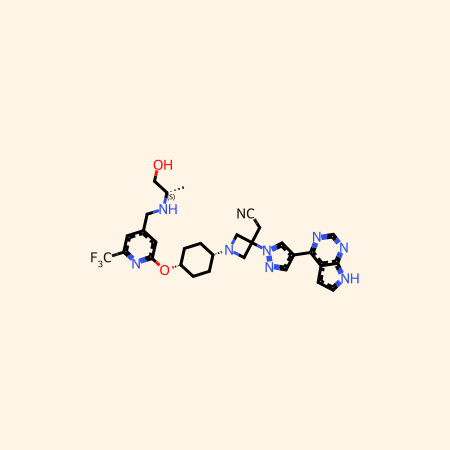 C[C@@H](CO)NCc1cc(O[C@H]2CC[C@@H](N3CC(CC#N)(n4cc(-c5ncnc6[nH]ccc56)cn4)C3)CC2)nc(C(F)(F)F)c1